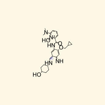 CN(C)c1cccc(C(=O)NC2=C/C(=C/N[C@H]3CC[C@H](O)CC3)C(=N)C=C2OCC2CC2)[n+]1O